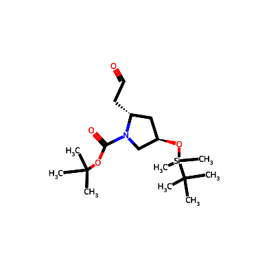 CC(C)(C)OC(=O)N1C[C@H](O[Si](C)(C)C(C)(C)C)C[C@H]1CC=O